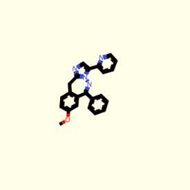 COc1ccc2c(c1)C(c1ccccc1)=Nn1c(-c3ccccn3)cnc1C2